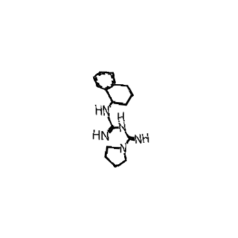 N=C(NC(=N)N1CCCC1)NC1CCCc2ccccc21